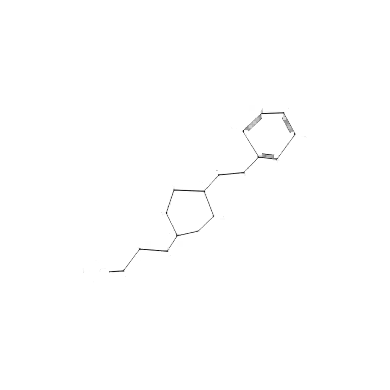 CCCCC1CCC(CCc2ccccc2)CC1